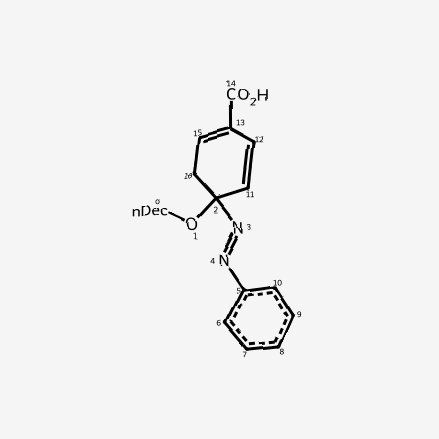 CCCCCCCCCCOC1(N=Nc2ccccc2)C=CC(C(=O)O)=CC1